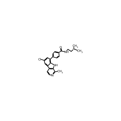 Cc1nccc2c1[nH]c1c(-c3ccc(C(=O)NCCN(C)C)cc3)cc(Cl)cc12